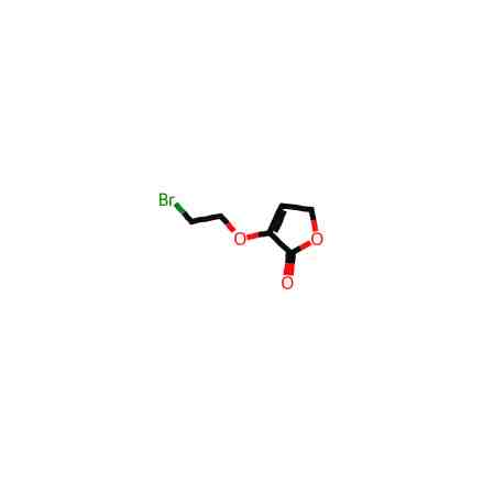 O=C1OCC=C1OCCBr